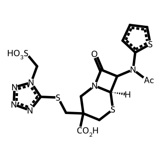 CC(=O)N(c1cccs1)C1C(=O)N2CC(CSc3nnnn3CS(=O)(=O)O)(C(=O)O)CS[C@H]12